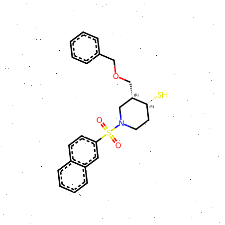 O=S(=O)(c1ccc2ccccc2c1)N1CC[C@@H](S)[C@@H](COCc2ccccc2)C1